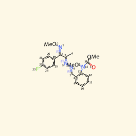 CO/N=C(/C(C)=N/N=C/c1ccccc1N(OC)C(=O)OC)c1ccc(F)cc1